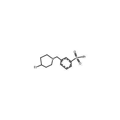 CCC1CCN(Cc2cccc(S(=O)(=O)C(C)C)c2)CC1